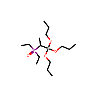 CCCO[Si](OCCC)(OCCC)C(C)P(=O)(CC)CC